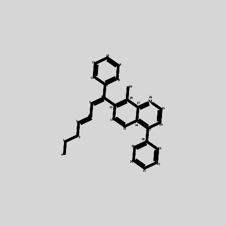 CCC/C=C/C=C(/c1ccccc1)c1ccc2c(-c3ccccc3)ccnc2c1C